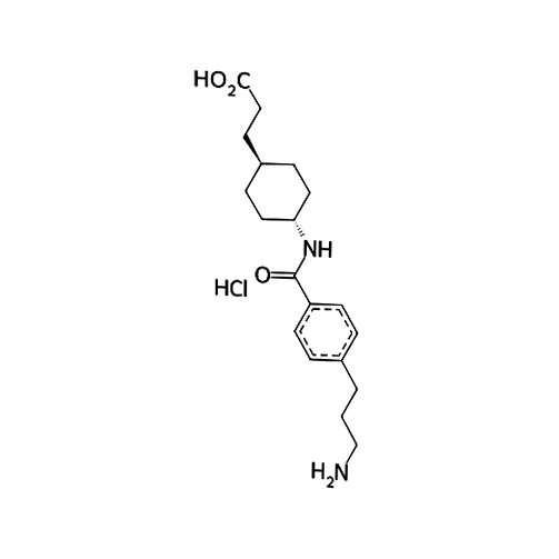 Cl.NCCCc1ccc(C(=O)N[C@H]2CC[C@H](CCC(=O)O)CC2)cc1